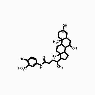 CC(CCC(=O)Nc1ccc(O)c(C(=O)O)c1)C1CCC2C3C(O)CC4C[C@H](O)CCC4(C)C3CCC12C